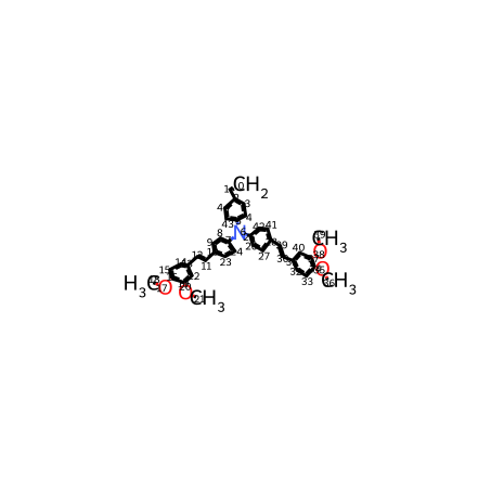 C=Cc1ccc(N(c2ccc(C=Cc3ccc(OC)c(OC)c3)cc2)c2ccc(C=Cc3ccc(OC)c(OC)c3)cc2)cc1